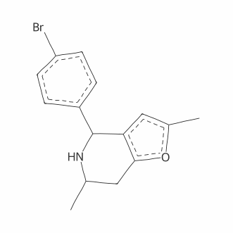 Cc1cc2c(o1)CC(C)NC2c1ccc(Br)cc1